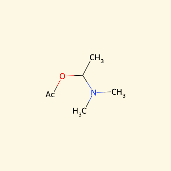 CC(=O)OC(C)N(C)C